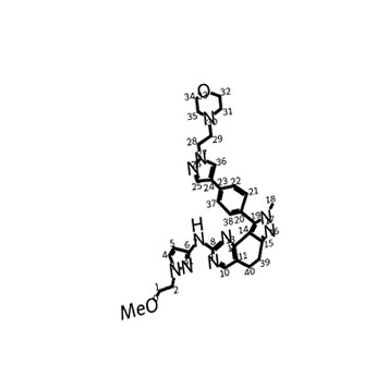 COCCn1ccc(Nc2ncc3c(n2)-c2c(nn(C)c2-c2ccc(-c4cnn(CCN5CCOCC5)c4)cc2)CC3)n1